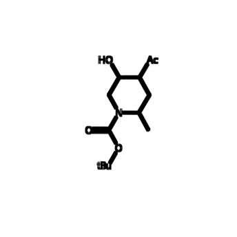 CC(=O)C1CC(C)N(C(=O)OC(C)(C)C)CC1O